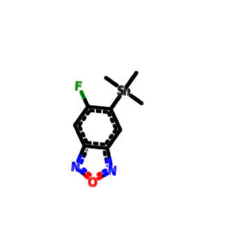 [CH3][Sn]([CH3])([CH3])[c]1cc2nonc2cc1F